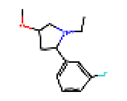 CCN1CC(OC)CC1c1cccc(F)c1